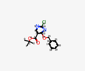 CC(C)(C)OC(=O)c1cnc(Cl)nc1OCc1ccccc1